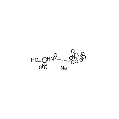 O=C(CCCCCC(=O)ON1C(=O)CC(S(=O)(=O)[O-])C1=O)NCc1ccc(CO)c([N+](=O)[O-])c1.[Na+]